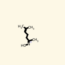 CC(C)=CCC/C(C)=N\O